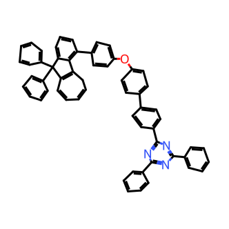 C1=CCC2=C(C=C1)C(c1ccccc1)(c1ccccc1)c1cccc(-c3ccc(Oc4ccc(-c5ccc(-c6nc(-c7ccccc7)nc(-c7ccccc7)n6)cc5)cc4)cc3)c12